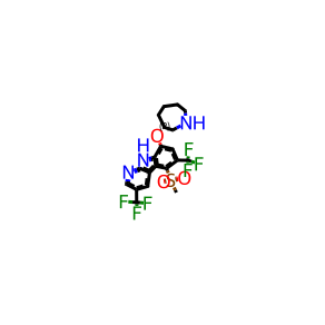 CS(=O)(=O)c1c(C(F)(F)F)cc(O[C@@H]2CCCCNC2)c2[nH]c3ncc(C(F)(F)F)cc3c12